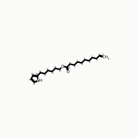 C=CCCCCCCCCC(=O)OCCCCCCc1ccc[nH]1